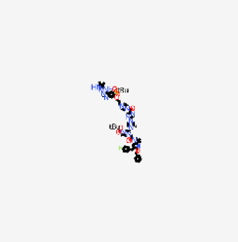 Cc1[nH]nc(Nc2ncnc3cc(OCCCN4CCN(C(=O)c5cnc(N6CCN(C[C@H]7CN(C(=O)OC(C)(C)C)[C@H](C)CN7CC(=O)N7CC(C)(C)c8nc(OCc9ccccc9)c(Cc9ccc(F)cc9)cc87)[C@H](C)C6)cn5)CC4)c(S(=O)(=O)C(C)(C)C)cc23)c1C